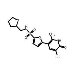 CCc1cc(-c2ccc(S(=O)(=O)NCC3CCCO3)s2)c(C)[nH]c1=O